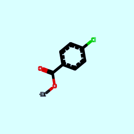 C[CH]OC(=O)c1ccc(Cl)cc1